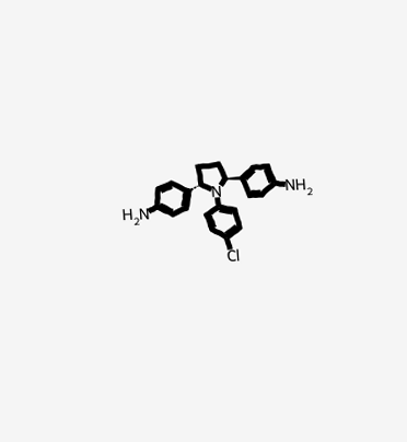 Nc1ccc([C@@H]2CC[C@@H](c3ccc(N)cc3)N2c2ccc(Cl)cc2)cc1